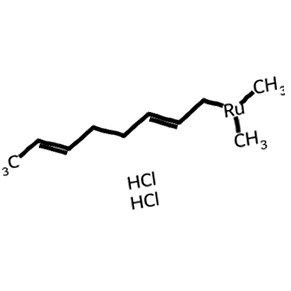 CC=CCCC=C[CH2][Ru]([CH3])[CH3].Cl.Cl